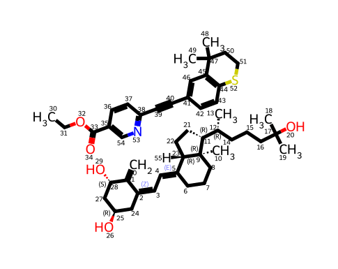 C=C1/C(=C\C=C2/CCC[C@]3(C)[C@@H]([C@H](C)CCCC(C)(C)O)CC[C@@H]23)C[C@@H](O)C[C@@H]1O.CCOC(=O)c1ccc(C#Cc2ccc3c(c2)C(C)(C)CCS3)nc1